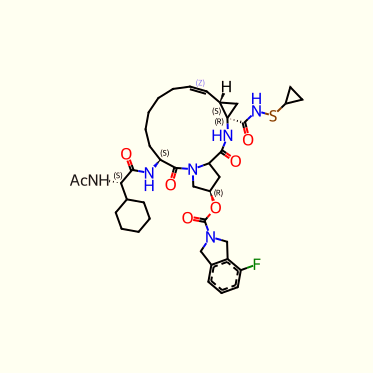 CC(=O)N[C@H](C(=O)N[C@H]1CCCCC/C=C\[C@@H]2C[C@@]2(C(=O)NSC2CC2)NC(=O)C2C[C@@H](OC(=O)N3Cc4cccc(F)c4C3)CN2C1=O)C1CCCCC1